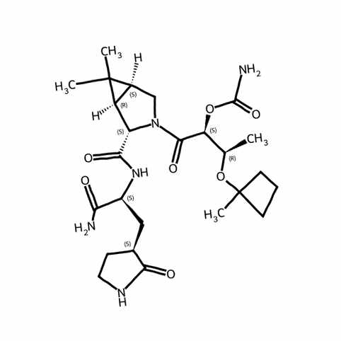 C[C@@H](OC1(C)CCC1)[C@H](OC(N)=O)C(=O)N1C[C@H]2[C@@H]([C@H]1C(=O)N[C@@H](C[C@@H]1CCNC1=O)C(N)=O)C2(C)C